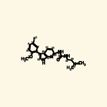 COc1ncc(F)cc1-c1c[nH]c2nc(NC(=O)NCCN(C)C)ccc12